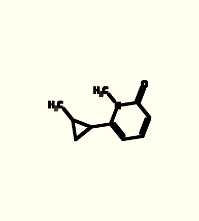 CC1CC1c1cccc(=O)n1C